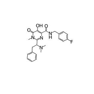 CN(C)C(Cc1ccccc1)c1nc(C(=O)NCc2ccc(F)cc2)c(O)c(=O)n1C